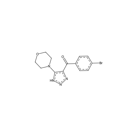 O=C(c1ccc(Br)cc1)c1nn[nH]c1N1CCOCC1